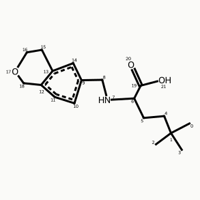 CC(C)(C)CCC(NCc1ccc2c(c1)CCOC2)C(=O)O